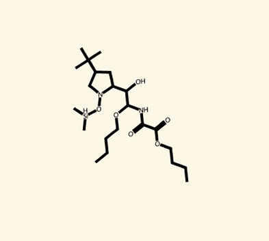 CCCCOC(=O)C(=O)NC(OCCCC)C(O)C1CC(C(C)(C)C)CN1O[SiH](C)C